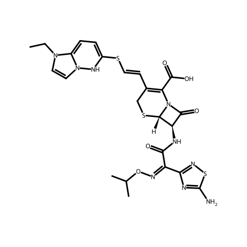 CCN1C=CN2NC(S/C=C/C3=C(C(=O)O)N4C(=O)[C@@H](NC(=O)/C(=N\OC(C)C)c5nsc(N)n5)[C@@H]4SC3)=CC=C12